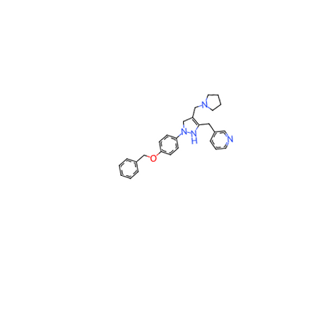 c1ccc(COc2ccc(N3CC(CN4CCCC4)=C(Cc4cccnc4)N3)cc2)cc1